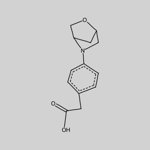 O=C(O)Cc1ccc(N2CC3CC2CO3)cc1